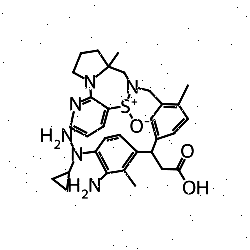 Cc1ccc(C(CC(=O)O)c2ccc(N(N)C3CC3)c(N)c2C)cc1CN1CC2(C)CCCN2c2ncccc2[S+]1[O-]